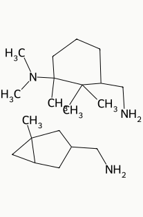 CC12CC(CN)CC1C2.CN(C)C1(C)CCCC(CN)C1(C)C